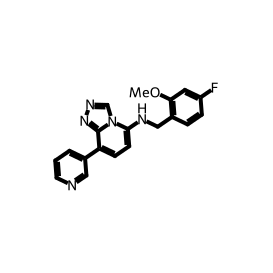 COc1cc(F)ccc1CNc1ccc(-c2cccnc2)c2nncn12